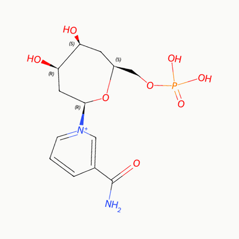 NC(=O)c1ccc[n+]([C@H]2C[C@@H](O)[C@@H](O)C[C@@H](COP(=O)(O)O)O2)c1